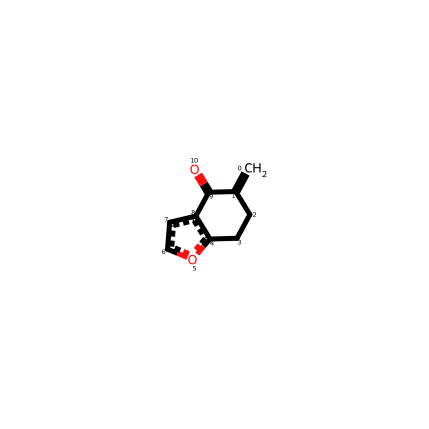 C=C1CCc2occc2C1=O